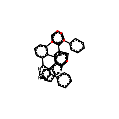 c1ccc(-c2ccccc2-c2ccc3oc4ccccc4c3c2-c2c(-c3ccccc3)cccc2-c2nnnc(-c3ccccc3)c2-c2ccccc2)cc1